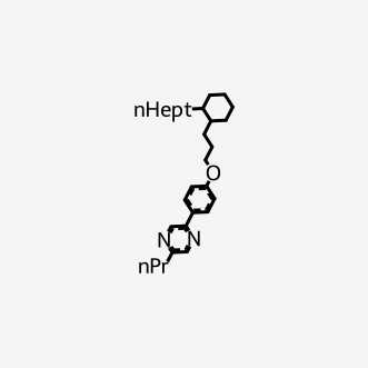 CCCCCCCC1CCCCC1CCCOc1ccc(-c2cnc(CCC)cn2)cc1